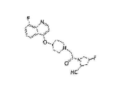 N#CC1C[C@H](F)CN1C(=O)CN1CCC(Oc2ccnc3c(F)cccc23)CC1